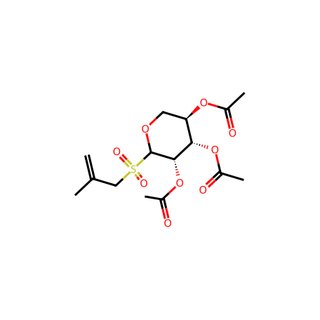 C=C(C)CS(=O)(=O)C1OC[C@@H](OC(C)=O)[C@H](OC(C)=O)[C@@H]1OC(C)=O